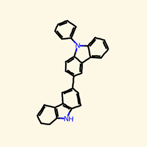 C1=Cc2c([nH]c3ccc(-c4ccc5c(c4)c4ccccc4n5-c4ccccc4)cc23)CC1